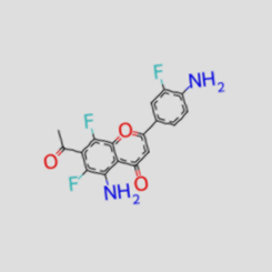 CC(=O)c1c(F)c(N)c2c(=O)cc(-c3ccc(N)c(F)c3)oc2c1F